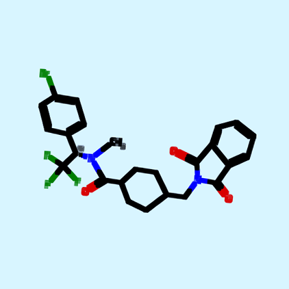 CN(C(=O)C1CCC(CN2C(=O)c3ccccc3C2=O)CC1)[C@@H](c1ccc(Br)cc1)C(F)(F)F